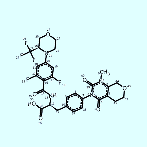 Cn1c2c(c(=O)n(-c3ccc(C[C@H](NC(=O)c4c(F)cc(N5CCOC[C@@H]5C(F)(F)F)cc4F)C(=O)O)cc3)c1=O)CCOC2